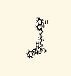 O=C(Cc1ccncc1)N[C@@H](CCCCCCCc1ccc2c(n1)NCCC2)C(=O)O